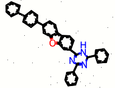 c1ccc(C2=NC(c3ccccc3)NC(c3ccc4c(c3)oc3cc(-c5ccc(-c6ccccc6)cc5)ccc34)=N2)cc1